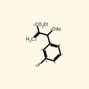 C=C(C(=O)OCC)C(OC(C)=O)c1cccc(F)c1